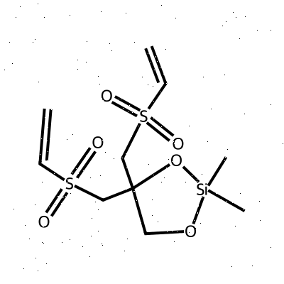 C=CS(=O)(=O)CC1(CS(=O)(=O)C=C)CO[Si](C)(C)O1